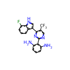 Nc1cccc(N)c1-c1ncc(C(F)(F)F)c(-c2c[nH]c3c(F)cccc23)n1